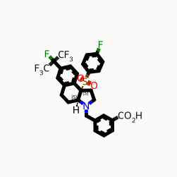 O=C(O)c1cccc(CN2CC[C@]3(S(=O)(=O)c4ccc(F)cc4)c4ccc(C(F)(C(F)(F)F)C(F)(F)F)cc4CC[C@H]23)c1